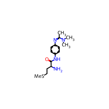 CSCCC(N)C(=O)Nc1ccc(N=C(C)N(C)C)cc1